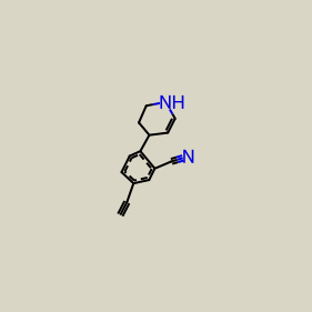 C#Cc1ccc(C2C=CNCC2)c(C#N)c1